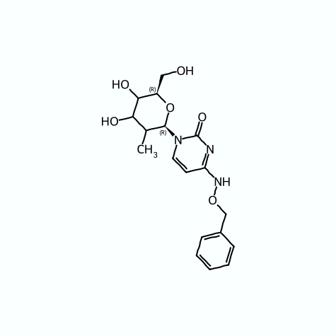 CC1C(O)C(O)[C@@H](CO)O[C@H]1n1ccc(NOCc2ccccc2)nc1=O